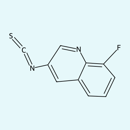 Fc1cccc2cc(N=C=S)cnc12